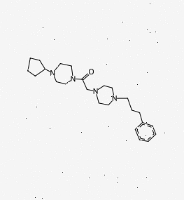 O=C(CN1CCN(CCCc2ccccc2)CC1)N1CCN(C2CCCC2)CC1